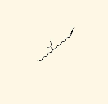 [CH2]C#CCCCCCCCC(CCCCC[CH2])C(C)CC